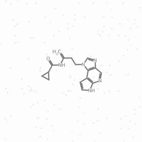 C=C(CCn1cnc2cnc3[nH]ccc3c21)NC(=O)C1CC1